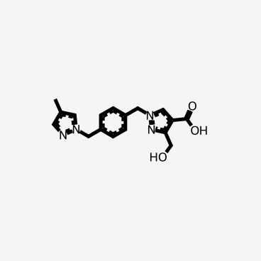 Cc1cnn(Cc2ccc(Cn3cc(C(=O)O)c(CO)n3)cc2)c1